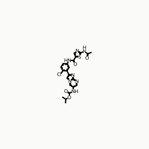 CC(=O)Nc1ncc(C(=O)Nc2ccc(Cl)c(-c3cn4cc(NC(=O)OC(C)C)cnc4n3)c2)s1